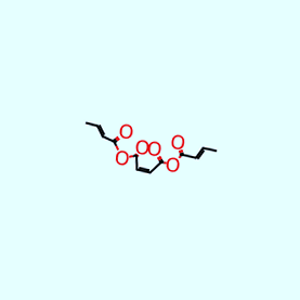 CC=CC(=O)OC(=O)/C=C\C(=O)OC(=O)C=CC